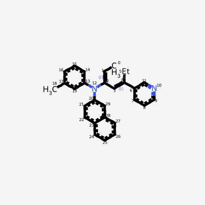 C/C=C(\C=C(/CC)c1cccnc1)N(c1cccc(C)c1)c1ccc2ccccc2c1